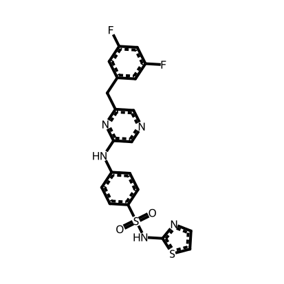 O=S(=O)(Nc1nccs1)c1ccc(Nc2cncc(Cc3cc(F)cc(F)c3)n2)cc1